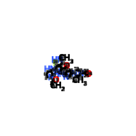 C=CC(=O)N1CCCC(Nc2nc(Nc3ccc(N4CCN(C5COC5)CC4C)cn3)c(C=O)c(CNC)c2F)C1